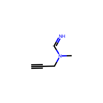 C#CCN(C)[C]=N